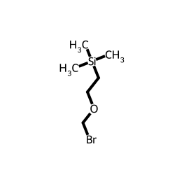 C[Si](C)(C)CCOCBr